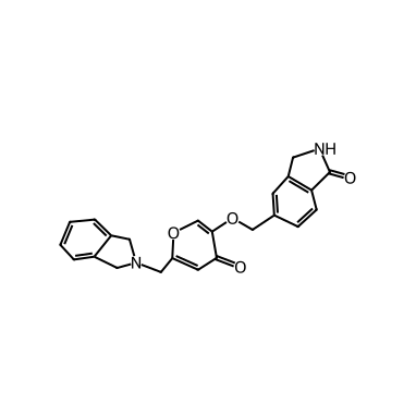 O=C1NCc2cc(COc3coc(CN4Cc5ccccc5C4)cc3=O)ccc21